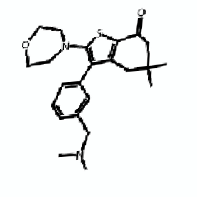 CN(C)Cc1cccc(-c2c(N3CCOCC3)sc3c2CC(C)(C)CC3=O)c1